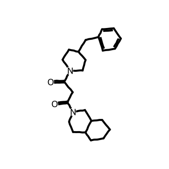 O=C(CC(=O)N1CCC2CCCCC2C1)N1CCC(Cc2ccccc2)CC1